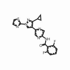 O=C(Nc1cnc(-c2cn(-c3nccs3)nc2C2CC2)cn1)c1c(F)cccc1F